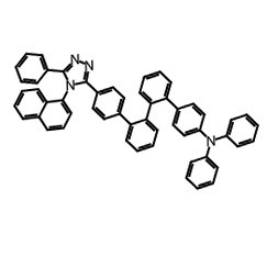 c1ccc(-c2nnc(-c3ccc(-c4ccccc4-c4ccccc4-c4ccc(N(c5ccccc5)c5ccccc5)cc4)cc3)n2-c2cccc3ccccc23)cc1